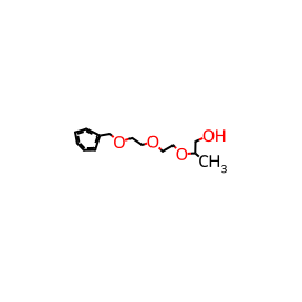 CC(CO)OCCOCCOCc1ccccc1